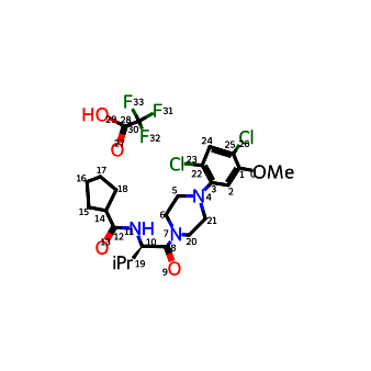 COc1cc(N2CCN(C(=O)[C@H](NC(=O)C3CCCC3)C(C)C)CC2)c(Cl)cc1Cl.O=C(O)C(F)(F)F